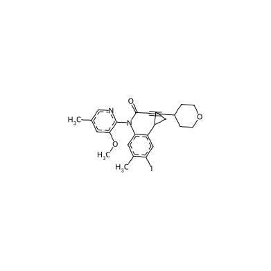 COc1cc(C)cnc1N(C(=O)C#CC1CCOCC1)c1cc(C)c(I)cc1C1CC1